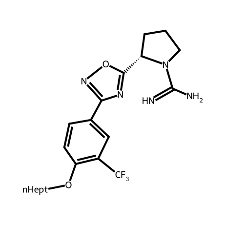 CCCCCCCOc1ccc(-c2noc([C@@H]3CCCN3C(=N)N)n2)cc1C(F)(F)F